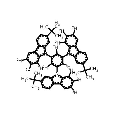 [2H]c1cc2c3ccc(C(C)(C)C)cc3n(-c3c([2H])c(-n4c5cc(C(C)(C)C)ccc5c5cc([2H])c([2H])c([2H])c54)c([2H])c(-n4c5cc(C(C)(C)C)ccc5c5cc([2H])c([2H])c([2H])c54)c3[2H])c2c([2H])c1[2H]